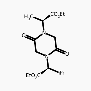 CCOC(=O)[C@H](C(C)C)N1CC(=O)N([C@@H](C)C(=O)OCC)CC1=O